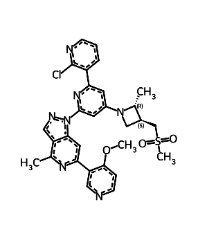 COc1ccncc1-c1cc2c(cnn2-c2cc(N3C[C@H](CS(C)(=O)=O)[C@H]3C)cc(-c3cccnc3Cl)n2)c(C)n1